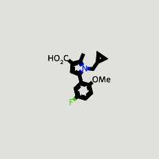 COc1ccc(F)cc1-c1cc(C(=O)O)c(C)n1CC1CC1